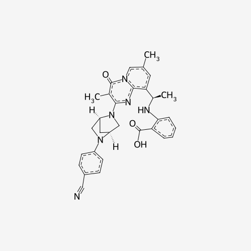 Cc1cc([C@@H](C)Nc2ccccc2C(=O)O)c2nc(N3C[C@@H]4C[C@H]3CN4c3ccc(C#N)cc3)c(C)c(=O)n2c1